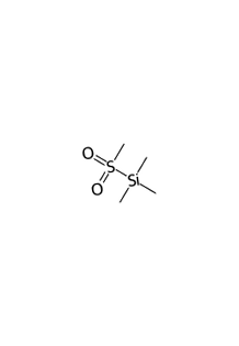 C[Si](C)(C)S(C)(=O)=O